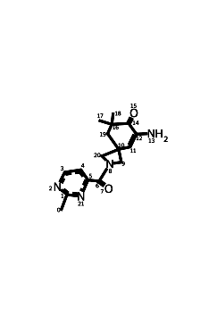 Cc1nccc(C(=O)N2CC3(C=C(N)C(=O)C(C)(C)C3)C2)n1